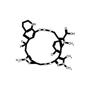 Cc1c2c(nn1C)CSCc1cc(n(C)n1)CC(F)(F)c1cc3c(c(c1)OCCCc1c(C(=O)O)n(C)c4c-2c(Cl)ccc14)NCCC3